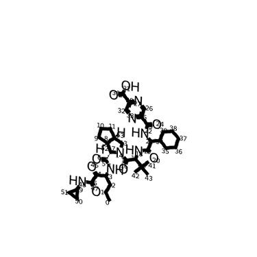 CCCC(NC(=O)[C@@H]1[C@H]2CCC[C@H]2CN1C(=O)C(NC(=O)C(NC(=O)c1cnc(C(=O)O)cn1)C1CCCCC1)C(C)(C)C)C(=O)C(=O)NC1CC1